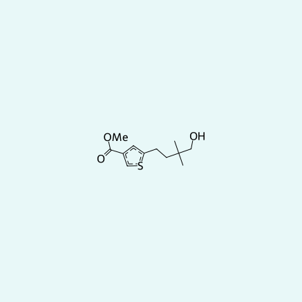 COC(=O)c1csc(CCC(C)(C)CO)c1